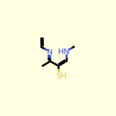 C=C/N=C(C)/C(S)=C\NC